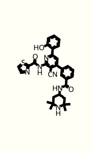 CC1(C)CC(NC(=O)c2cccc(-c3cc(-c4ccccc4O)nc(NC(=O)c4nccs4)c3C#N)c2)CC(C)(C)N1